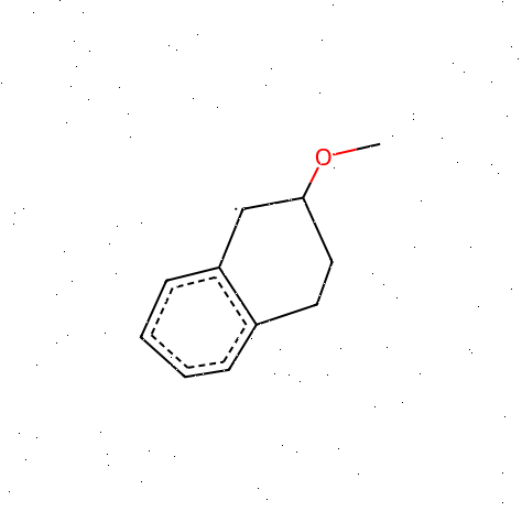 COC1[CH]c2ccccc2CC1